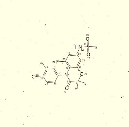 [CH2]c1cc(N2C(=O)C(C)(C)Oc3cc(NS(C)(=O)=O)cc(F)c32)ccc1Cl